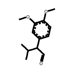 COc1ccc(C(C=O)C(C)C)cc1OC